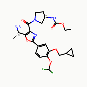 CCOC(=O)N[C@@H]1CCN(C(=O)c2nc(-c3ccc(OC(F)F)c(OCC4CC4)c3)oc2[C@H](C)N)C1